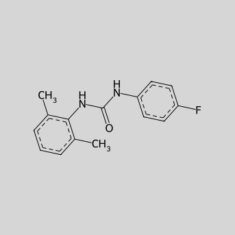 Cc1cccc(C)c1NC(=O)Nc1ccc(F)cc1